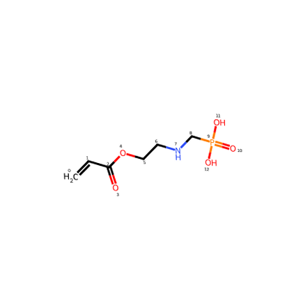 C=CC(=O)OCCNCP(=O)(O)O